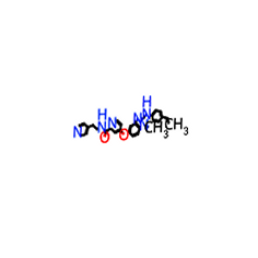 CCc1ccc(Nc2nc3cc(Oc4ccnc(C(=O)NCCc5ccncc5)c4)ccc3n2C)cc1